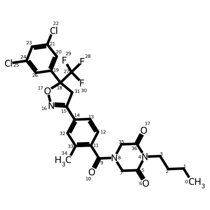 CCCCN1C(=O)CN(C(=O)c2ccc(C3=NOC(c4cc(Cl)cc(Cl)c4)(C(F)(F)F)C3)cc2C)CC1=O